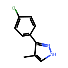 Cc1c[nH]nc1-c1ccc(Cl)cc1